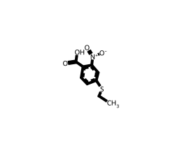 CCSc1ccc(C(=O)O)c([N+](=O)[O-])c1